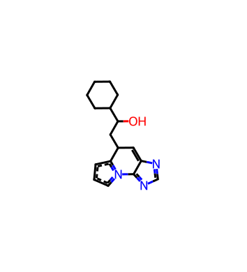 OC(CC1C=C2N=CN=C2n2cccc21)C1CCCCC1